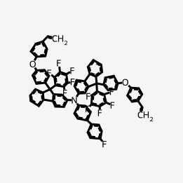 C=Cc1ccc(Oc2ccc(C3(c4c(F)c(F)c(F)c(F)c4F)c4ccccc4-c4ccc(N(c5ccc(-c6ccc(F)cc6)cc5)c5ccc6c(c5)C(c5ccc(Oc7ccc(C=C)cc7)cc5)(c5c(F)c(F)c(F)c(F)c5F)c5ccccc5-6)cc43)cc2)cc1